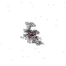 CC(=O)NC1C(O)[C@H](O[C@@H]2OC(CO[C@]3(OC=O)C[C@@H](O)[C@@H](C)C([C@H](O)C(O)CO)O3)[C@H](O)C(O)[C@@H]2O)[C@H](CO)O[C@H]1O[C@@H]1C(O)[C@H](O)C(CO)O[C@@H]1OCC1O[C@@H](O[C@@H]2C(CO)O[C@@H](O[C@@H]3C(CO)O[C@@H](O)[C@@H](NC(C)=O)C3O)[C@@H](NC(C)=O)C2O)[C@H](O)C(O[C@H]2O[C@H](CO)[C@@H](O)C(O)C2O[C@@H]2OC(CO)[C@@H](O[C@@H]3OC(COC[C@]4(OC=O)C[C@@H](O)[C@@H](C)C([C@H](O)C(O)CO)O4)[C@H](O)C(O)[C@@H]3O)C(O)[C@@H]2NC(C)=O)[C@@H]1O